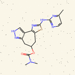 Cc1ccnc(Nc2nc3c(s2)CC(OC(=O)N(C)C)Cc2n[nH]cc2-3)n1